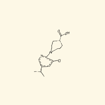 CC(C)c1cnc(N2CCC(C(=O)O)CC2)c(Cl)c1